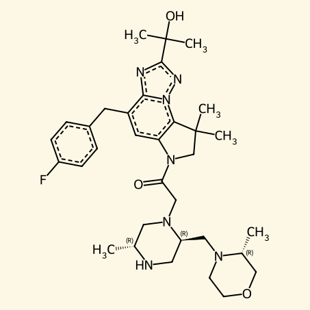 C[C@@H]1CN(CC(=O)N2CC(C)(C)c3c2cc(Cc2ccc(F)cc2)c2nc(C(C)(C)O)nn32)[C@@H](CN2CCOC[C@H]2C)CN1